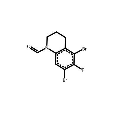 O=CN1CCCc2c1cc(Br)c(F)c2Br